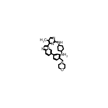 Cc1cnc(NC2CCC(N)CC2)nc1-c1cnc2ccc(-c3ccc(CN4CCOCC4)cc3)cn12